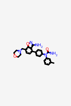 Cc1cccc(N(C(N)=O)c2ccc(-c3ccc(CN4CCOCC4)c4onc(N)c34)cc2)c1